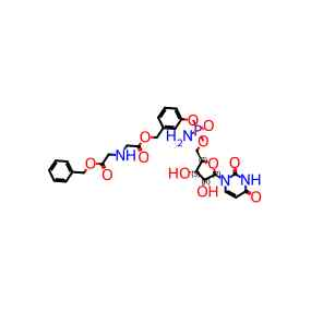 NP(=O)(OC[C@H]1O[C@@H](n2ccc(=O)[nH]c2=O)[C@H](O)[C@@H]1O)Oc1cccc(COC(=O)CNCC(=O)OCc2ccccc2)c1